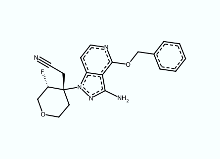 N#CC[C@@]1(n2nc(N)c3c(OCc4ccccc4)nccc32)CCOC[C@@H]1F